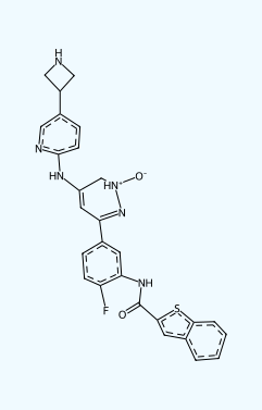 O=C(Nc1cc(C2=N[NH+]([O-])CC(Nc3ccc(C4CNC4)cn3)=C2)ccc1F)c1cc2ccccc2s1